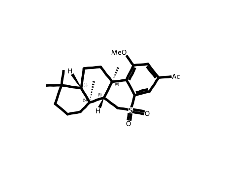 COc1cc(C(C)=O)cc2c1[C@]1(C)CC[C@H]3C(C)(C)CCC[C@]3(C)[C@H]1CS2(=O)=O